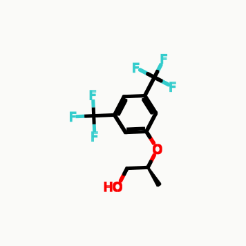 C[C@@H](CO)Oc1cc(C(F)(F)F)cc(C(F)(F)F)c1